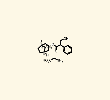 CN1[C@@H]2CC[C@H]1C[C@@H](OC(=O)C(CO)c1ccccc1)C2.NCC(=O)O